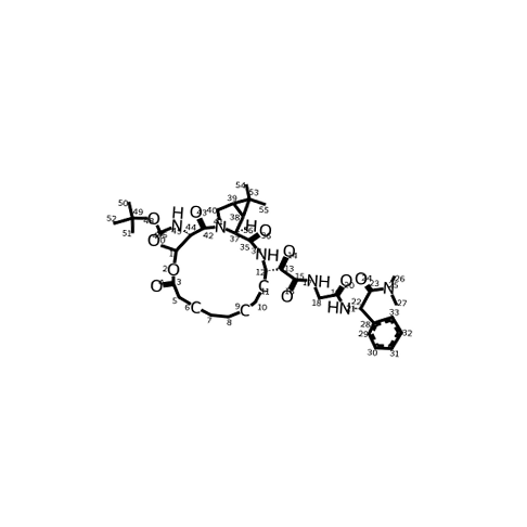 CC1OC(=O)CCCCCCC[C@@H](C(=O)C(=O)NCC(=O)N[C@H](C(=O)N(C)C)c2ccccc2)NC(=O)[C@@H]2C3C(CN2C(=O)[C@H]1NC(=O)OC(C)(C)C)C3(C)C